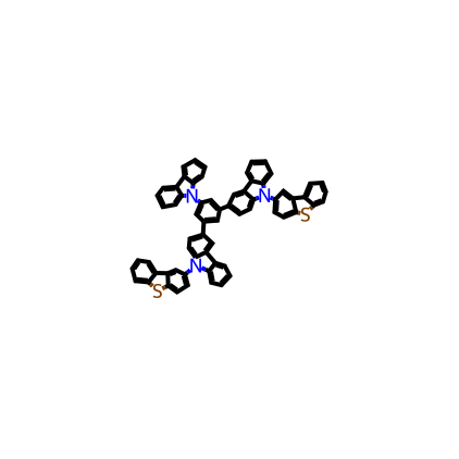 c1ccc2c(c1)sc1ccc(-n3c4ccccc4c4cc(-c5cc(-c6ccc7c(c6)c6ccccc6n7-c6ccc7sc8ccccc8c7c6)cc(-n6c7ccccc7c7ccccc76)c5)ccc43)cc12